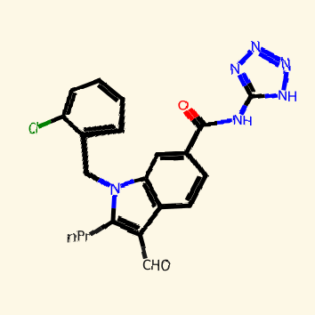 CCCc1c(C=O)c2ccc(C(=O)Nc3nnn[nH]3)cc2n1Cc1ccccc1Cl